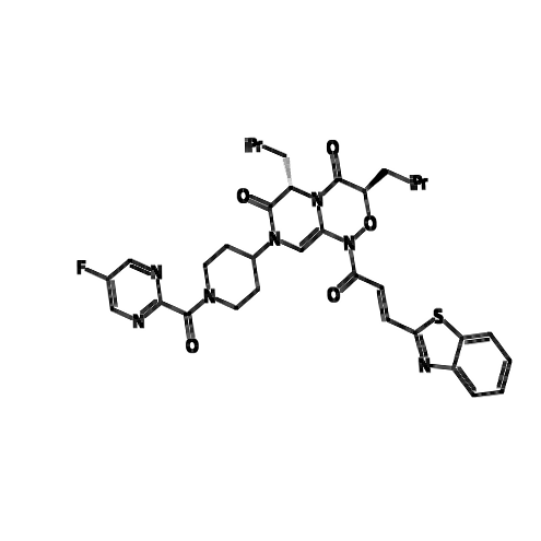 CC(C)C[C@H]1ON(C(=O)/C=C/c2nc3ccccc3s2)C2=CN(C3CCN(C(=O)c4ncc(F)cn4)CC3)C(=O)[C@H](CC(C)C)N2C1=O